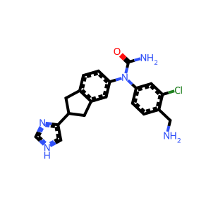 NCc1ccc(N(C(N)=O)c2ccc3c(c2)CC(c2c[nH]cn2)C3)cc1Cl